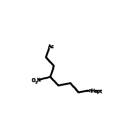 CCCCCCCCCCC(CCC(C)=O)[N+](=O)[O-]